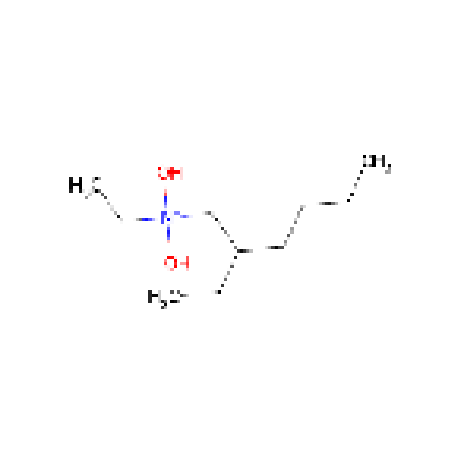 CCCCC(CC)C[N+](O)(O)CC